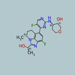 C[C@@H]1CCc2c(-c3nc(N[C@@H]4CCOC[C@H]4O)ncc3F)cc(F)c3nc([C@@H](C)O)n1c23